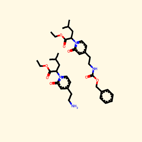 CCOC(=O)C(CC(C)C)n1ccc(CCN)cc1=O.CCOC(=O)C(CC(C)C)n1ccc(CCNC(=O)OCc2ccccc2)cc1=O